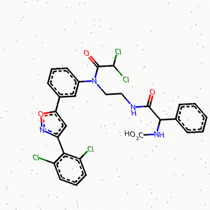 O=C(O)NC(C(=O)NCCN(C(=O)C(Cl)Cl)c1cccc(-c2cc(-c3c(Cl)cccc3Cl)no2)c1)c1ccccc1